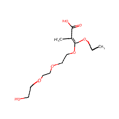 CCOC(OCCOCCOCCO)=C(C)C(=O)O